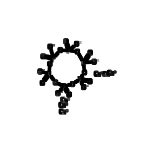 O=P1([O-])OP(=O)([O-])OP(=O)([O-])OP(=O)([O-])OP(=O)([O-])OP(=O)([O-])O1.[Cs+].[Cs+].[Cs+].[Cs+].[Cs+].[Cs+]